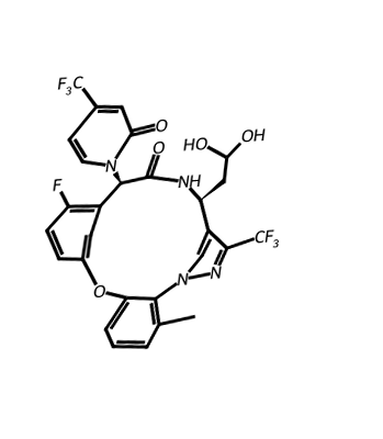 Cc1cccc2c1-n1cc(c(C(F)(F)F)n1)[C@H](CC(O)O)NC(=O)[C@H](n1ccc(C(F)(F)F)cc1=O)c1cc(ccc1F)O2